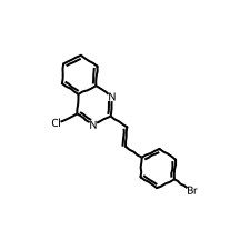 Clc1nc(/C=C/c2ccc(Br)cc2)nc2ccccc12